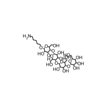 NCCCCCO[C@@H]1OC(CO)[C@@H](O[C@H]2OC(CO)[C@H](O[C@H]3OC(CO)[C@@H](O[C@@H]4OC(CO)[C@@H](O)C(O)C4O)C(O)C3O)C(O)C2O)C(O)C1O